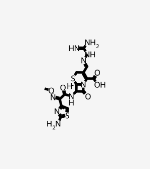 CO/N=C(\C(=O)NC1C(=O)N2C(C(=O)O)=C(/C=N/NC(=N)N)CS[C@H]12)c1csc(N)n1